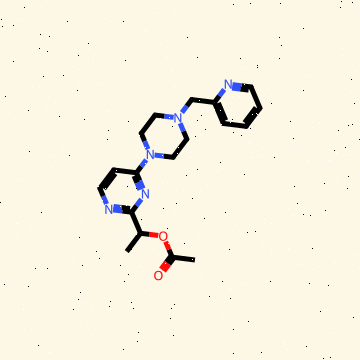 CC(=O)OC(C)c1nccc(N2CCN(Cc3ccccn3)CC2)n1